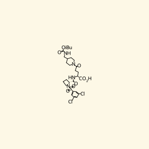 CC(C)COC(=O)NCC1CCN(C(=O)CC[C@H](NC(=O)[C@H]2CCCN2S(=O)(=O)c2cc(Cl)cc(Cl)c2)C(=O)O)CC1